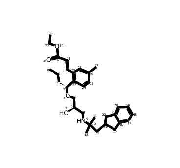 CCC[C@@H](OC[C@H](O)CNC(C)(C)CC1Cc2ccccc2C1)c1ccc(C)cc1/C=C/C(=O)OCC